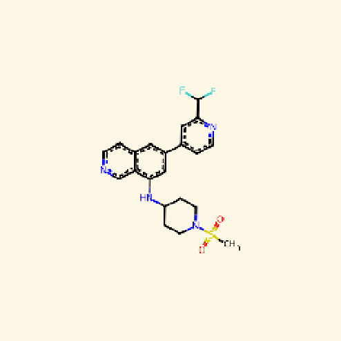 CS(=O)(=O)N1CCC(Nc2cc(-c3ccnc(C(F)F)c3)cc3ccncc23)CC1